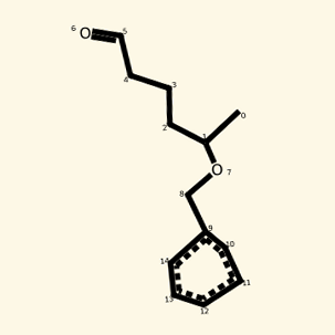 CC(CCCC=O)OCc1ccccc1